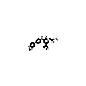 CC(C)Cn1cc(-c2cnsc2)cc(N[C@H]2CC[C@@H](c3ccc4c(c3)OCO4)CC2)c1=O